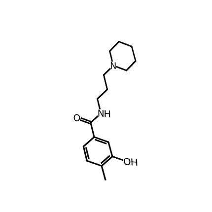 Cc1ccc(C(=O)NCCCN2CCCCC2)cc1O